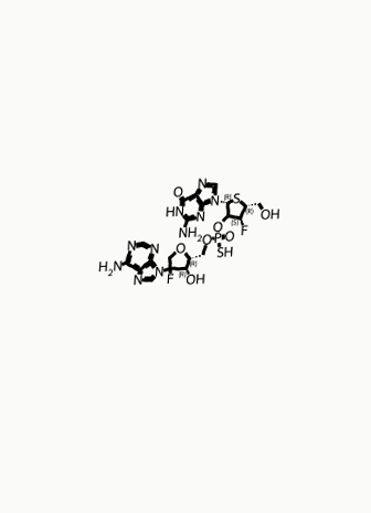 Nc1nc2c(ncn2[C@@H]2S[C@H](CO)[C@@H](F)C2OP(=O)(S)OC[C@H]2OCC(F)(n3cnc4c(N)ncnc43)[C@@H]2O)c(=O)[nH]1